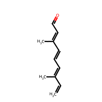 C=C/C(C)=C/C=C/C(C)=C/[C]=O